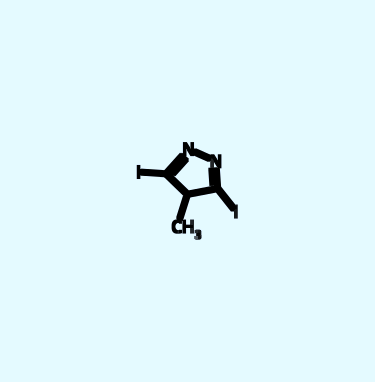 CC1C(I)=NN=C1I